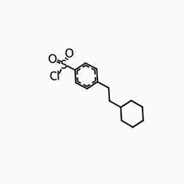 O=S(=O)(Cl)c1ccc(CCC2CCCCC2)cc1